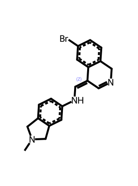 CN1Cc2ccc(N/C=C3\C=NCc4ccc(Br)cc43)cc2C1